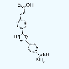 N=C(N)c1ccc(-c2c[nH]c(-c3ccc(C=CC(=O)O)cc3)n2)cc1